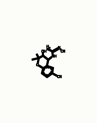 CC1(C)Oc2ccc(C#N)cc2C(N/C(N)=N\C#N)C1O